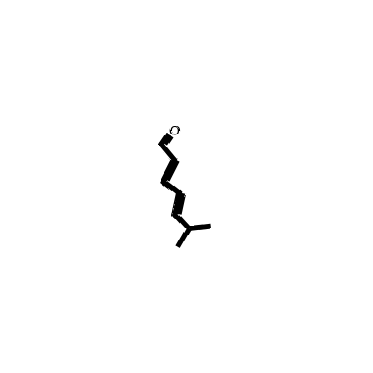 CC(C)C=CC=CC=O